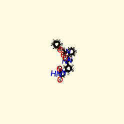 O=C1CN(c2cccc(-c3noc([C@H]4CCCCN4C(=O)COc4ccccc4)n3)c2)C(=O)N1